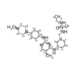 CCNS(=O)(=O)NCc1cccc(Nc2nc(Nc3ccc(N4CCN(C)CC4)cc3)ncc2C)c1